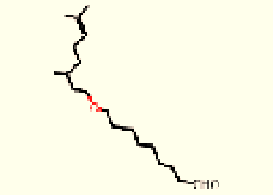 CC(C)=CCCC(C)CCOCCCCCCCCC=O